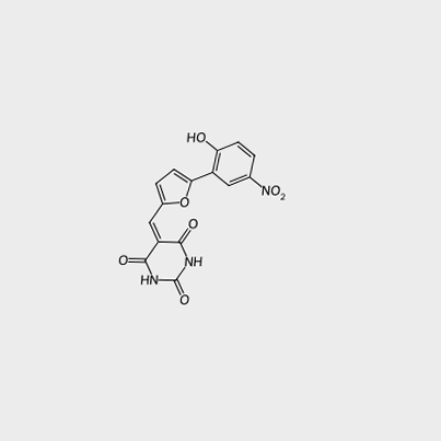 O=C1NC(=O)C(=Cc2ccc(-c3cc([N+](=O)[O-])ccc3O)o2)C(=O)N1